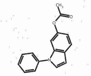 CC(=O)Oc1ccc2ccn(-c3ccccc3)c2c1